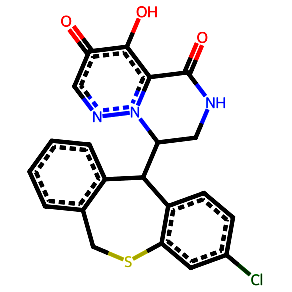 O=C1NCC(C2c3ccccc3CSc3cc(Cl)ccc32)n2ncc(=O)c(O)c21